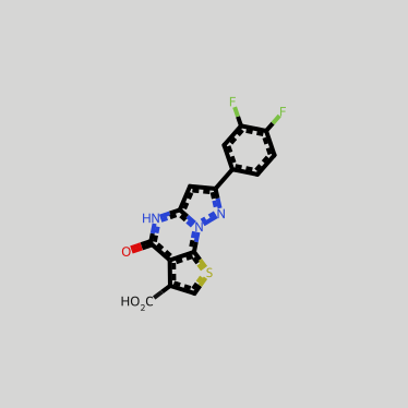 O=C(O)c1csc2c1c(=O)[nH]c1cc(-c3ccc(F)c(F)c3)nn12